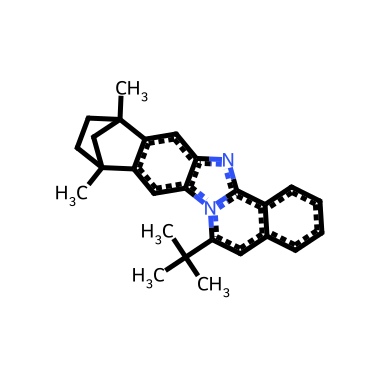 CC(C)(C)c1cc2ccccc2c2nc3cc4c(cc3n12)C1(C)CCC4(C)C1